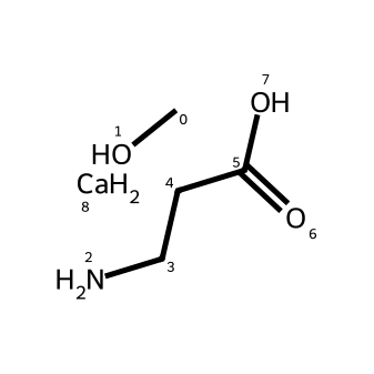 CO.NCCC(=O)O.[CaH2]